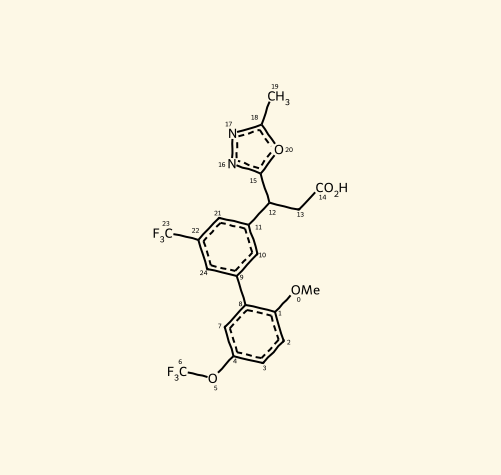 COc1ccc(OC(F)(F)F)cc1-c1cc(C(CC(=O)O)c2nnc(C)o2)cc(C(F)(F)F)c1